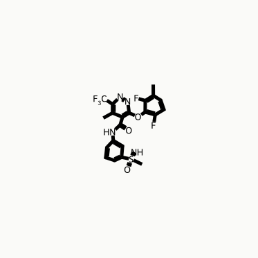 Cc1ccc(F)c(Oc2nnc(C(F)(F)F)c(C)c2C(=O)Nc2cccc(S(C)(=N)=O)c2)c1F